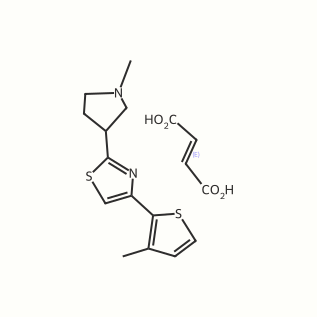 Cc1ccsc1-c1csc(C2CCN(C)C2)n1.O=C(O)/C=C/C(=O)O